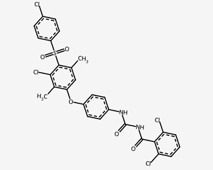 Cc1cc(Oc2ccc(NC(=O)NC(=O)c3c(Cl)cccc3Cl)cc2)c(C)c(Cl)c1S(=O)(=O)c1ccc(Cl)cc1